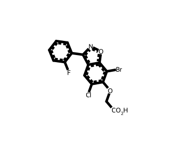 O=C(O)COc1c(Cl)cc2c(-c3ccccc3F)noc2c1Br